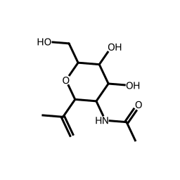 C=C(C)C1OC(CO)C(O)C(O)C1NC(C)=O